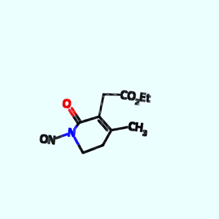 CCOC(=O)CC1=C(C)CCN(N=O)C1=O